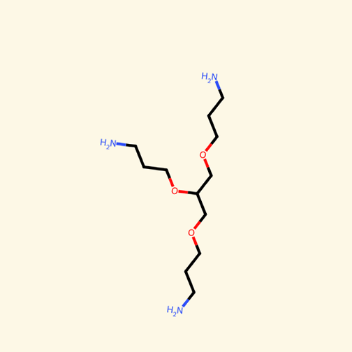 NCCCOCC(COCCCN)OCCCN